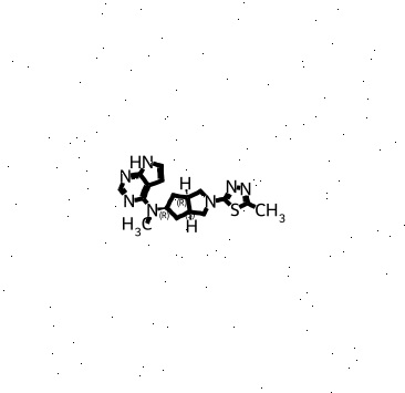 Cc1nnc(N2C[C@H]3C[C@@H](N(C)c4ncnc5[nH]ccc45)C[C@H]3C2)s1